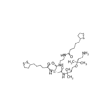 CC(C)(CCOC(C)(C)CCN)NC(=O)C[C@H](NC(=O)CCCCC1CCSS1)C(=O)NCCNC(=O)CCCCC1CCSS1